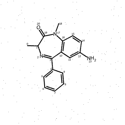 CC1N=C(c2ccccc2)c2cc(N)ccc2N(C)C1=O